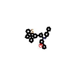 C(=C(/c1cccc(-c2ccc3c(c2)-c2sc4ccccc4c2C3(c2ccccc2)c2ccccc2)c1)c1ccc2oc3ccccc3c2c1)/c1ccc(-c2ccccc2)cc1